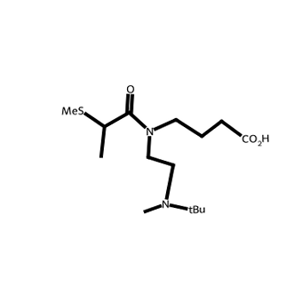 CSC(C)C(=O)N(CCCC(=O)O)CCN(C)C(C)(C)C